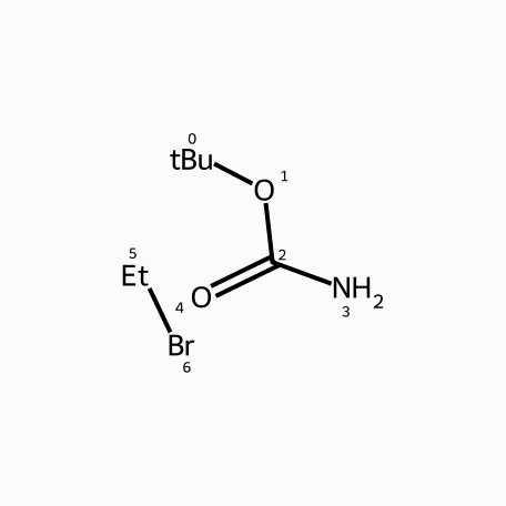 CC(C)(C)OC(N)=O.CCBr